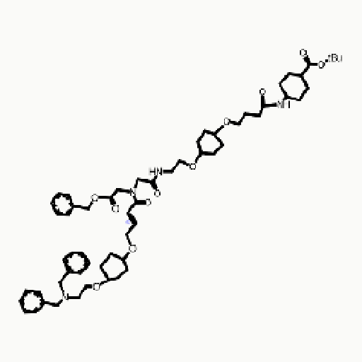 CC(C)(C)OC(=O)C1CCC(NC(=O)CCCOC2CCC(OCCNC(=O)CN(CC(=O)OCc3ccccc3)C(=O)/C=C/COC3CCC(OCCN(Cc4ccccc4)Cc4ccccc4)CC3)CC2)CC1